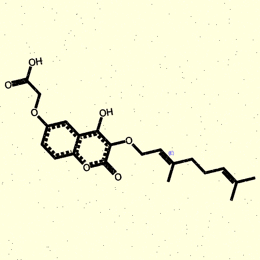 CC(C)=CCC/C(C)=C/COc1c(O)c2cc(OCC(=O)O)ccc2oc1=O